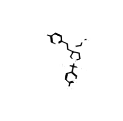 CCOCC[C@]1(CCc2ccc(F)cn2)CCN(C(C)(C)c2ccc(C)nc2)C1